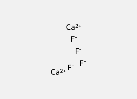 [Ca+2].[Ca+2].[F-].[F-].[F-].[F-]